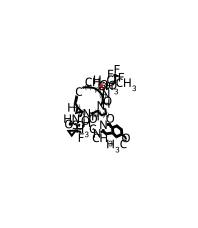 COc1ccc2c(O[C@@H]3C[C@H]4C(=O)N[C@]5(C(=O)NS(=O)(=O)C6(CF)CC6)C[C@H]5C=CCC[C@@H](C)C[C@@H](C)[C@H](NC(=O)OC(C)(C)C(F)(F)F)C(=O)N4C3)nc(N(C)C)cc2c1